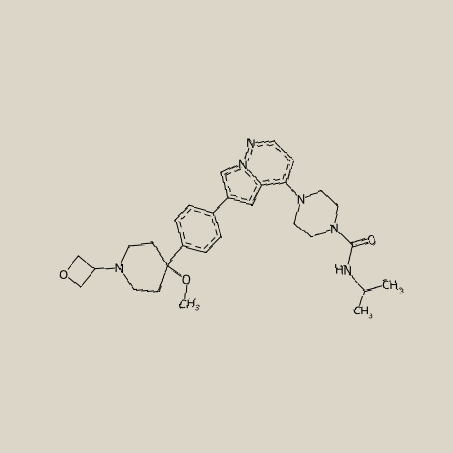 COC1(c2ccc(-c3cc4c(N5CCN(C(=O)NC(C)C)CC5)ccnn4c3)cc2)CCN(C2COC2)CC1